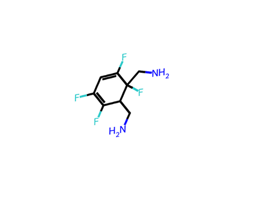 NCC1C(F)=C(F)C=C(F)C1(F)CN